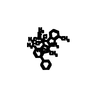 CC1=Cc2c(-c3ccccc3)ccc(C)c2[CH]1[Zr]([Cl])([Cl])([CH]1C(C(C)C)=Cc2c(C)cccc21)[SiH](C)C